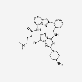 CC(C)c1cnn2c(NCc3ccccc3-n3cc4cccc(NC(=O)CCCN(C)C)c4n3)nc(N3CCC(N)CC3)nc12